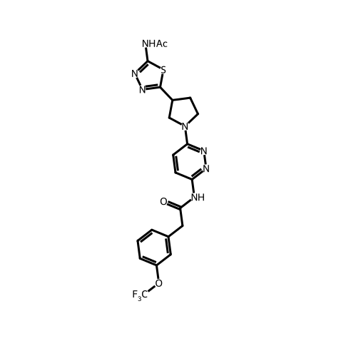 CC(=O)Nc1nnc(C2CCN(c3ccc(NC(=O)Cc4cccc(OC(F)(F)F)c4)nn3)C2)s1